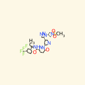 C[C@@H](NC(=O)c1ccc(=O)n(-c2cncc(-c3cnnn3C3CN(S(C)(=O)=O)C3)c2)n1)c1cccc(C(F)(F)F)c1F